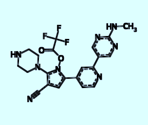 CNc1ncc(-c2cc(-c3cc(C#N)c(N4CCNCC4)n3OC(=O)C(F)(F)F)ccn2)cn1